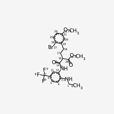 CCNc1ccc(C(F)(F)F)cc1NC(=O)C(CCc1cc(OC)ccc1Br)C(=O)OC